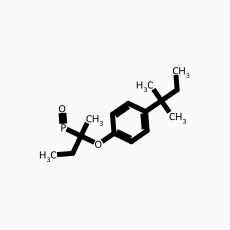 CCC(C)(Oc1ccc(C(C)(C)CC)cc1)P=O